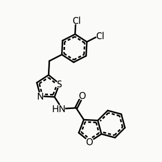 O=C(Nc1ncc(Cc2ccc(Cl)c(Cl)c2)s1)c1coc2ccccc12